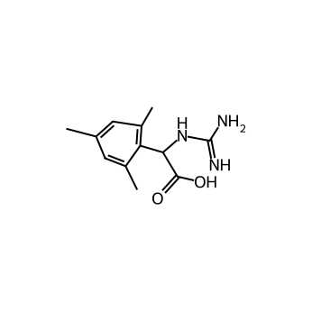 Cc1cc(C)c(C(NC(=N)N)C(=O)O)c(C)c1